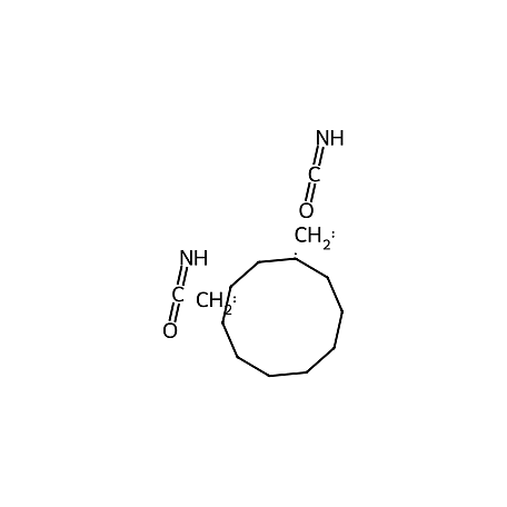 N=C=O.N=C=O.[CH2].[CH2].[CH]1CCCCCCCCC1